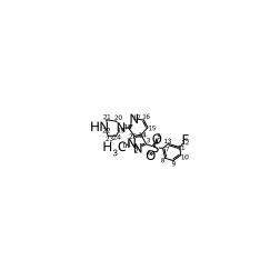 Cn1nc(S(=O)(=O)c2cccc(F)c2)c2ccnc(N3CCNCC3)c21